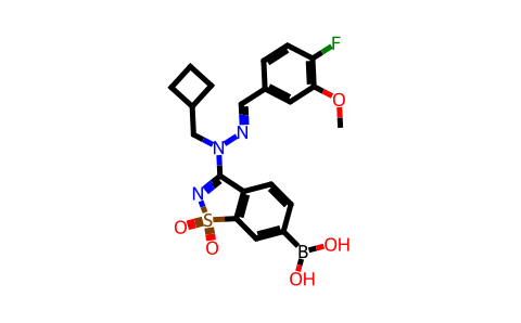 COc1cc(/C=N/N(CC2CCC2)C2=NS(=O)(=O)c3cc(B(O)O)ccc32)ccc1F